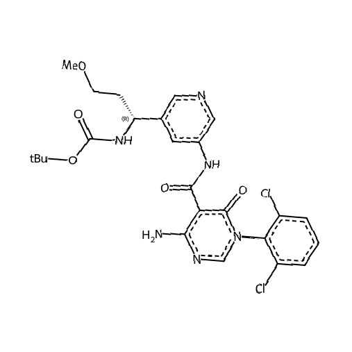 COCC[C@@H](NC(=O)OC(C)(C)C)c1cncc(NC(=O)c2c(N)ncn(-c3c(Cl)cccc3Cl)c2=O)c1